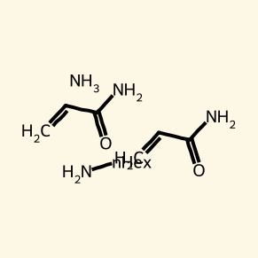 C=CC(N)=O.C=CC(N)=O.CCCCCCN.N